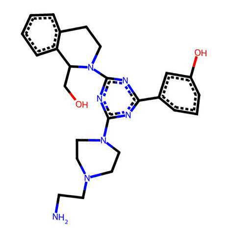 NCCN1CCN(c2nc(-c3cccc(O)c3)nc(N3CCc4ccccc4C3CO)n2)CC1